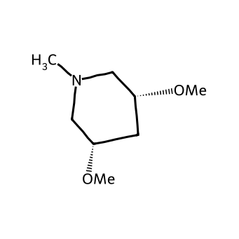 CO[C@@H]1C[C@H](OC)CN(C)C1